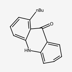 CCCCc1cccc2[nH]c3ccccc3c(=O)c12